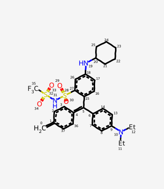 C=c1ccc(=C(c2ccc(N(CC)CC)cc2)c2ccc(NC3CCCCC3)cc2S(=O)(=O)NS(=O)(=O)C(F)(F)F)cc1